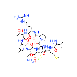 CSCC[C@H](NC(=O)[C@@H](N)C(C)C)C(=O)N[C@@H](C)C(=O)N1CCC[C@H]1C(=O)N[C@@H](CCCNC(=N)N)C(=O)N[C@H](C(=O)N[C@@H](CC(C)C)C(=O)N[C@@H](CCN)C(=O)N[C@H](C(=O)O)C(SF)C(C)C)[C@@H](C)O